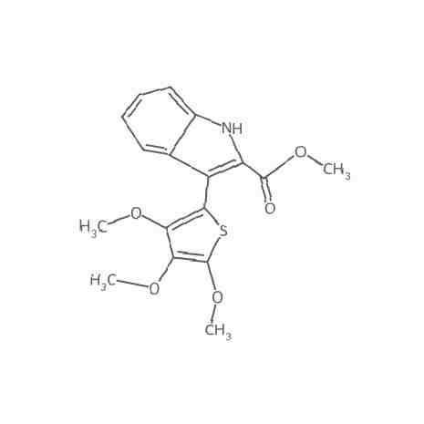 COC(=O)c1[nH]c2ccccc2c1-c1sc(OC)c(OC)c1OC